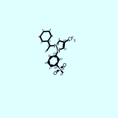 CC(C1CCCCC1)N1CC(C(F)(F)F)=CN1c1cccc(S(C)(=O)=O)c1